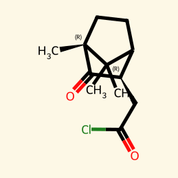 CC1(C)C2CC[C@@]1(C)C(=O)[C@@H]2CC(=O)Cl